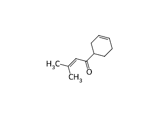 CC(C)=CC(=O)C1CC=CCC1